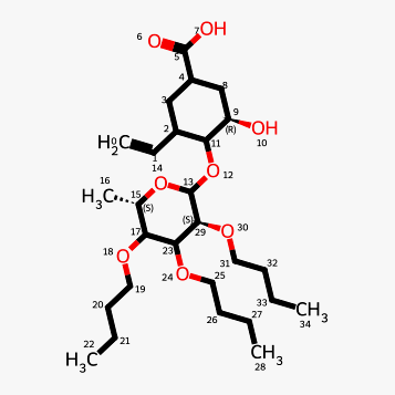 C=CC1CC(C(=O)O)C[C@@H](O)C1OC1O[C@@H](C)C(OCCCC)C(OCCCC)[C@@H]1OCCCC